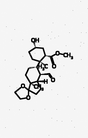 COC(=O)[C@H]1C[C@@H](O)CC[C@]1(C)[C@H]1CC[C@@]2(C)[C@@H](CCC23OCCO3)[C@@H]1C=O